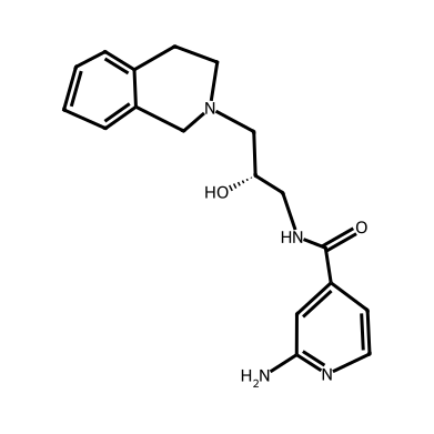 Nc1cc(C(=O)NC[C@H](O)CN2CCc3ccccc3C2)ccn1